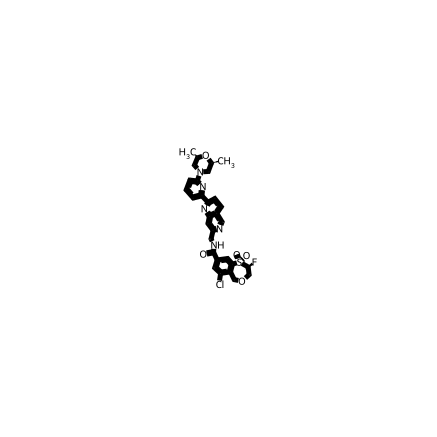 C[C@@H]1CN(c2cccc(-c3ccc4cnc(CNC(=O)c5cc(Cl)c6c(c5)S(=O)(=O)[C@@H](F)COC6)cc4n3)n2)C[C@H](C)O1